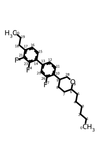 CCCCCCC1CCC(c2ccc(-c3ccc(CCC)c(F)c3F)cc2F)CO1